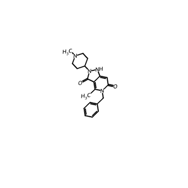 Cc1c2c(=O)n(C3CCN(C)CC3)[nH]c2cc(=O)n1Cc1ccccc1